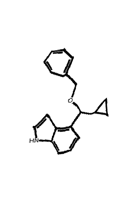 c1ccc(COC(c2cccc3[nH]ccc23)C2CC2)cc1